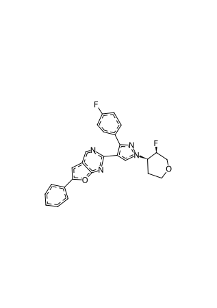 Fc1ccc(-c2nn([C@@H]3CCOC[C@@H]3F)cc2-c2ncc3cc(-c4ccccc4)oc3n2)cc1